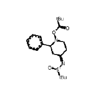 CC(C)(C)C(=O)ON1CCC(=N[S+]([O-])C(C)(C)C)CC1c1ccccc1